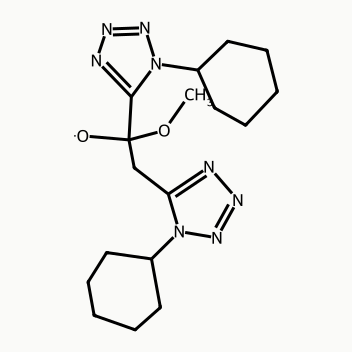 COC([O])(Cc1nnnn1C1CCCCC1)c1nnnn1C1CCCCC1